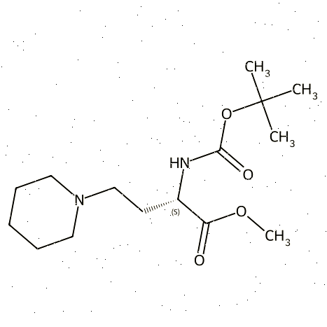 COC(=O)[C@H](CCN1CCCCC1)NC(=O)OC(C)(C)C